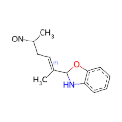 C/C(=C\CC(C)N=O)C1Nc2ccccc2O1